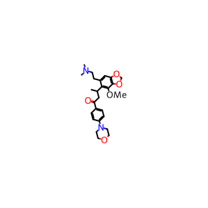 COc1c2c(cc(CCN(C)C)c1C(C)CC(=O)c1ccc(N3CCOCC3)cc1)OCO2